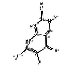 CCn1cc2c(=O)c(C)c(C(F)(F)F)[nH]c2nc1=O